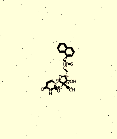 C#C[C@@]1(O)[C@H](O)[C@@H](CO[PH](=S)Oc2cccc3ccccc23)O[C@H]1n1ccc(=O)[nH]c1=O